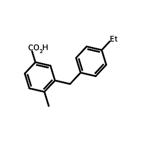 CCc1ccc(Cc2cc(C(=O)O)ccc2C)cc1